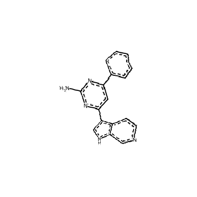 Nc1nc(-c2ccccc2)cc(-c2c[nH]c3cnccc23)n1